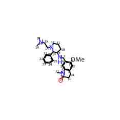 COc1cc2c(cc1CNC1CCCN(CCN(C)C)C1c1ccccc1)N(C)C(=O)CC2